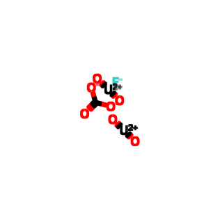 O=C([O-])[O-].[F-].[O]=[U+2]=[O].[O]=[U+2]=[O]